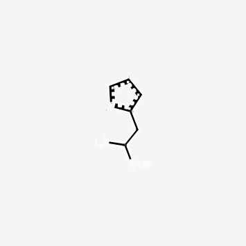 CCOC(=O)C(C)Cc1cccs1